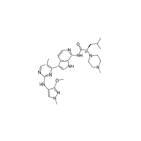 COc1nn(C)cc1Nc1ncc(C)c(-c2c[nH]c3c(NC(=O)[C@@H](CC(C)C)N4CCN(C)CC4)nccc23)n1